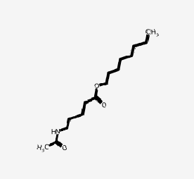 CCCCCCCCOC(=O)CCCCNC(C)=O